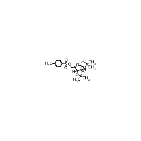 Cc1ccc(S(=O)(=O)OC[C@H]2O[C@]3(COC(C)(C)O3)[C@@H]3OC(C)(C)O[C@@H]32)cc1